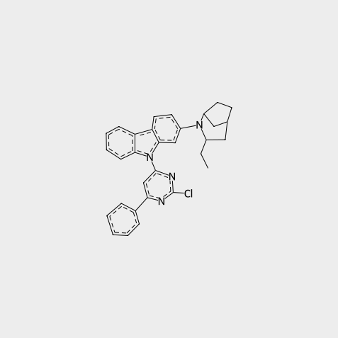 CCC1CC2CCC(C2)N1c1ccc2c3ccccc3n(-c3cc(-c4ccccc4)nc(Cl)n3)c2c1